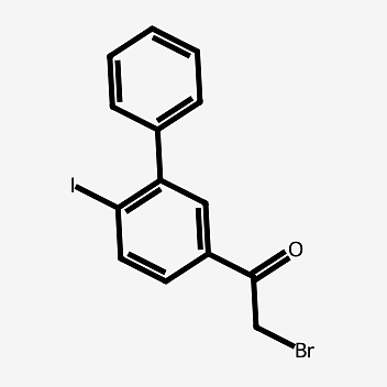 O=C(CBr)c1ccc(I)c(-c2ccccc2)c1